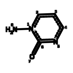 Nn1cccnc1=O